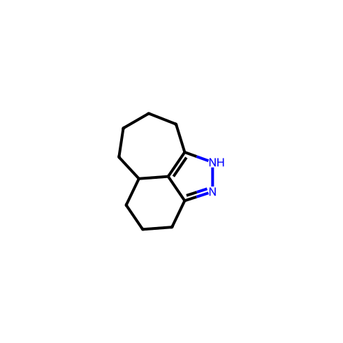 C1CCC2CCCc3n[nH]c(c32)C1